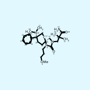 COCCCN1C(=O)N(CC(C)(C)C(N)=O)C[C@]12CC[C@@](c1ccccc1)(N(C)C)CC2